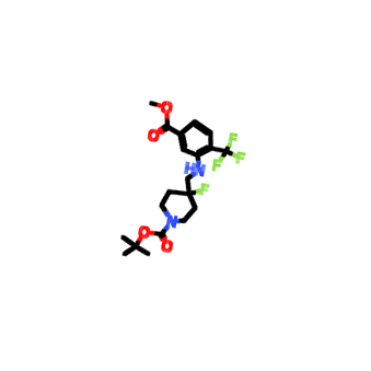 COC(=O)c1ccc(C(F)(F)F)c(NCC2(F)CCN(C(=O)OC(C)(C)C)CC2)c1